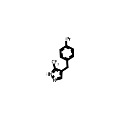 CC(C)c1ccc(Cc2cn[nH]c2C(F)(F)F)cc1